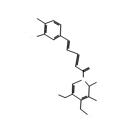 CC1C(O)=C(CN)C(CO)=CN1C(=O)/C=C/C=C/c1ccc(O)c(O)c1